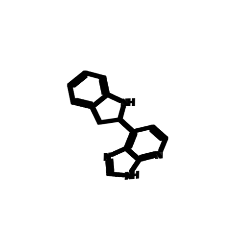 c1ccc2c(c1)CC(c1ccnc3[nH]cnc13)N2